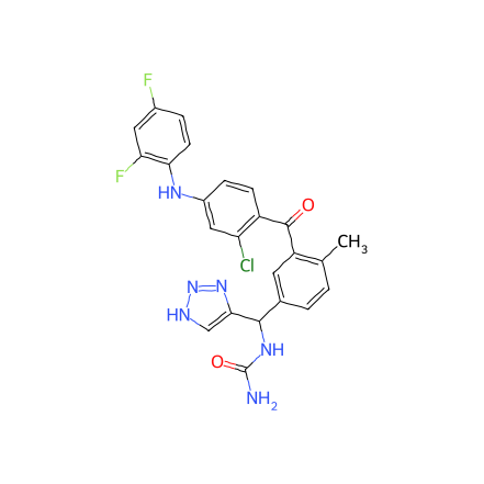 Cc1ccc(C(NC(N)=O)c2c[nH]nn2)cc1C(=O)c1ccc(Nc2ccc(F)cc2F)cc1Cl